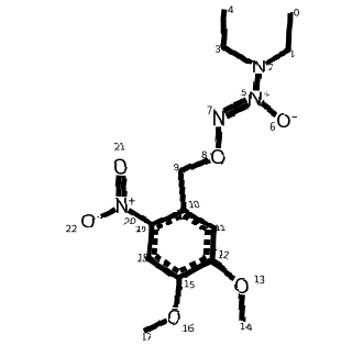 CCN(CC)/[N+]([O-])=N/OCc1cc(OC)c(OC)cc1[N+](=O)[O-]